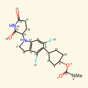 CNC(=O)OC1CCC(c2c(F)cc3c(c2F)CCN3C2CCC(=O)NC2=O)CC1